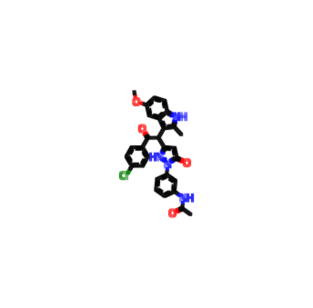 COc1ccc2[nH]c(C)c(C(C(=O)c3ccc(Cl)cc3)c3cc(=O)n(-c4cccc(NC(C)=O)c4)[nH]3)c2c1